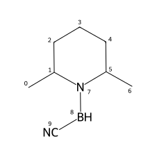 CC1CCCC(C)N1BC#N